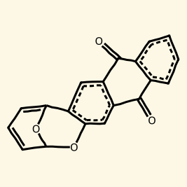 O=C1c2ccccc2C(=O)c2cc3c(cc21)OC1C=CC=C3O1